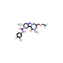 C[C@@H]1Cc2nn3c(c2CN1C(=O)Nc1ccc(F)c(Br)c1)C(=O)N(C)N=C(COCC(F)F)C3